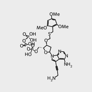 COc1cc(OC)c(CSCO[C@H]2CC(n3cc(C#CCN)c4c(N)ncnc43)O[C@@H]2COP(=O)(O)OP(=O)(O)OP(=O)(O)O)c(OC)c1